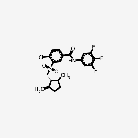 C=C1CCC(C)[C@H]1CS(=O)(=O)c1cc(C(=O)Nc2cc(F)c(F)c(F)c2)ccc1Cl